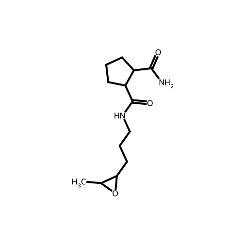 CC1OC1CCCNC(=O)C1CCCC1C(N)=O